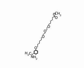 COC(=O)CCCCCOCCOCCOCCCCCCOc1cccc(C(C)N)c1